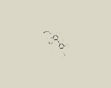 CCC(C)CCOc1c(C)cc(C(C)(C)c2cc(Cl)c(OCCC3CO3)c(Cl)c2C)cc1Cl